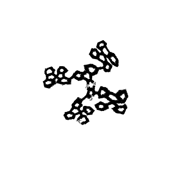 C1=CC2=C(CC1)c1ccccc1C21c2ccccc2-c2c(-c3ccc4c5ccc(-c6cccc7c6-c6ccccc6C76c7ccccc7-c7ccccc76)cc5c5nc6c(-c7ccc8c(c7)C(c7ccccc7)(c7ccccc7)c7ccccc7-8)sc(-c7ccc8c(c7)C(c7ccccc7)(c7ccccc7)c7ccccc7-8)c6nc5c4c3)cccc21